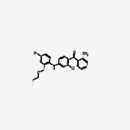 Cc1ccccc1C(=O)c1ccc(Nc2ccc(Br)cc2COCCI)cc1Cl